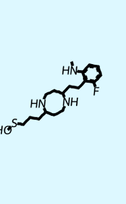 CNc1cccc(F)c1CCC1CCNC(CCCSO)CCN1